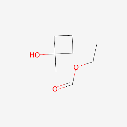 CC1(O)CCC1.CCOC=O